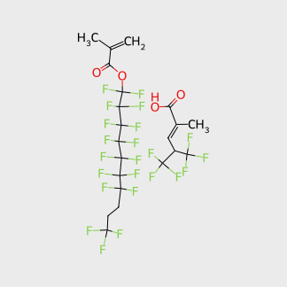 C=C(C)C(=O)OC(F)(F)C(F)(F)C(F)(F)C(F)(F)C(F)(F)C(F)(F)C(F)(F)CCC(F)(F)F.CC(=CC(C(F)(F)F)C(F)(F)F)C(=O)O